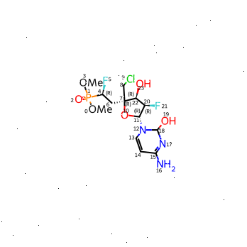 COP(=O)(OC)[C@@H](F)C[C@@]1(CCl)O[C@@H](N2C=CC(N)=NC2O)[C@H](F)[C@@H]1O